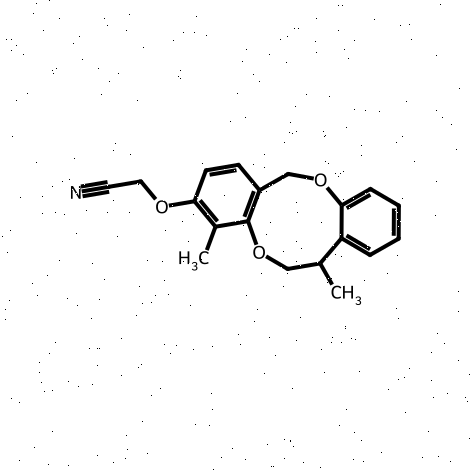 Cc1c(OCC#N)ccc2c1OCC(C)c1ccccc1OC2